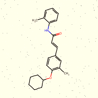 Cc1ccccc1NC(=O)/C=C/c1ccc(OC2CCCCC2)c(C)c1